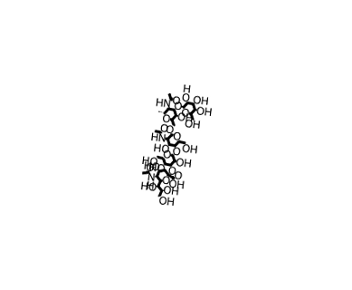 CC(=O)NC1[C@H](OCC2O[C@H](C)C(NC(C)=O)[C@@H](O[C@@H]3OC(CO)[C@H](O)[C@H](O)C3O)[C@H]2O)OC(CO)[C@@H](O[C@@H]2OC(CO)[C@H](O)[C@H](O[C@]3(C(=O)O)C[C@@H](O)[C@@H](NC(C)=O)C([C@H](O)[C@H](O)CO)O3)C2O)[C@@H]1O